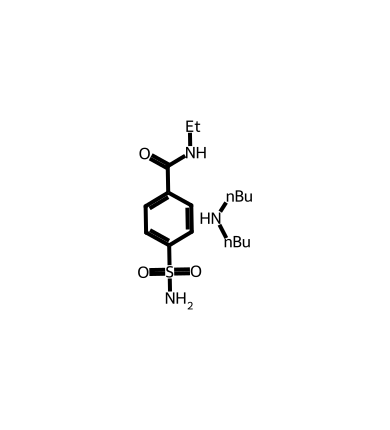 CCCCNCCCC.CCNC(=O)c1ccc(S(N)(=O)=O)cc1